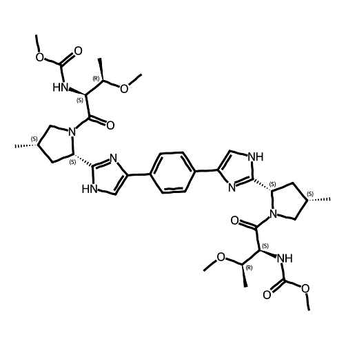 COC(=O)N[C@H](C(=O)N1C[C@@H](C)C[C@H]1c1nc(-c2ccc(-c3c[nH]c([C@@H]4C[C@H](C)CN4C(=O)[C@@H](NC(=O)OC)[C@@H](C)OC)n3)cc2)c[nH]1)[C@@H](C)OC